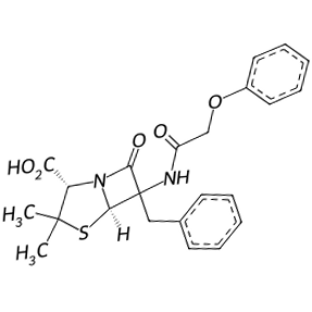 CC1(C)S[C@H]2N(C(=O)C2(Cc2ccccc2)NC(=O)COc2ccccc2)[C@H]1C(=O)O